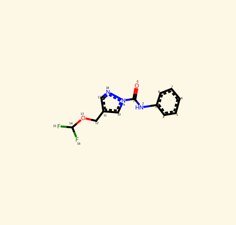 O=C(Nc1ccccc1)n1cc(COC(F)F)cn1